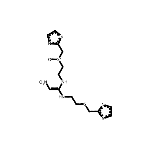 O=[N+]([O-])C=C(NCCSCc1nccs1)NCC[S+]([O-])Cc1nccs1